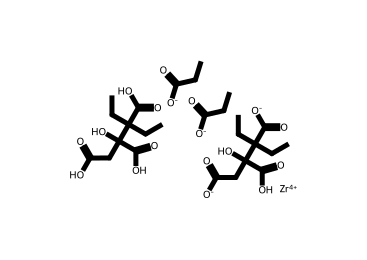 CCC(=O)[O-].CCC(=O)[O-].CCC(CC)(C(=O)O)C(O)(CC(=O)O)C(=O)O.CCC(CC)(C(=O)[O-])C(O)(CC(=O)[O-])C(=O)O.[Zr+4]